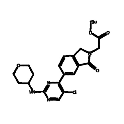 CC(C)(C)OC(=O)CN1Cc2ccc(-c3nc(NC4CCOCC4)ncc3Cl)cc2C1=O